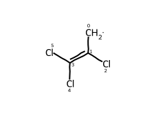 [CH2]C(Cl)=C(Cl)Cl